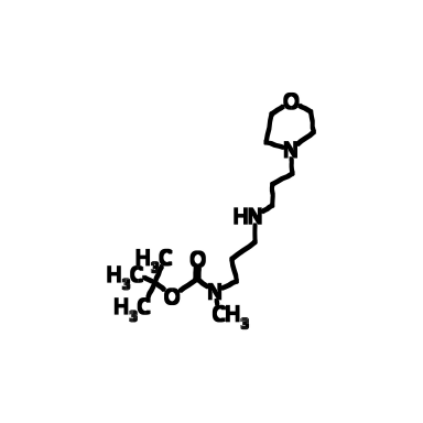 CN(CCCNCCCN1CCOCC1)C(=O)OC(C)(C)C